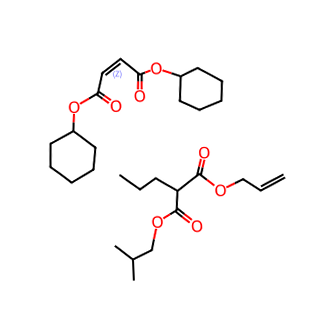 C=CCOC(=O)C(CCC)C(=O)OCC(C)C.O=C(/C=C\C(=O)OC1CCCCC1)OC1CCCCC1